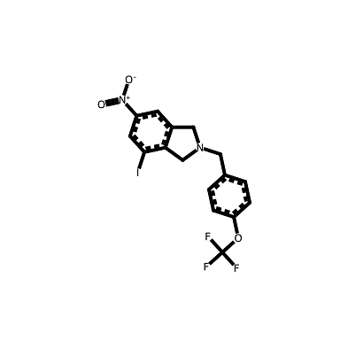 O=[N+]([O-])c1cc(I)c2c(c1)CN(Cc1ccc(OC(F)(F)F)cc1)C2